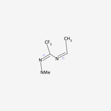 C/C=N\C(=N/NC)C(F)(F)F